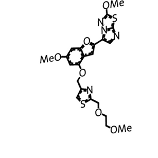 COCCOCc1nc(COc2cc(OC)cc3oc(-c4cnc5sc(OC)nn45)cc23)cs1